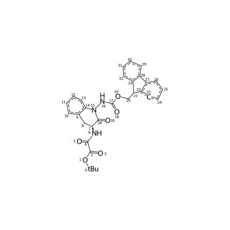 CC(C)(C)OC(=O)C(=O)N[C@H]1Cc2ccccc2N(NC(=O)OCC2c3ccccc3-c3ccccc32)C1=O